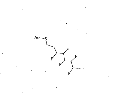 CC(=O)SCCC(F)C(F)C(F)C(F)C(F)F